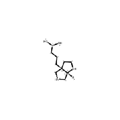 OB(O)CCC[C@@]12CCN[C@@H]1CNC2